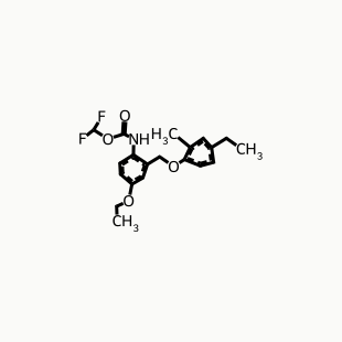 CCOc1ccc(NC(=O)OC(F)F)c(COc2ccc(CC)cc2C)c1